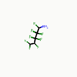 NC(F)C(F)(F)C(F)(F)C(F)C(F)F